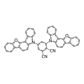 N#Cc1cc(-n2c3ccccc3c3c4oc5ccccc5c4ccc32)cc(-n2c3ccccc3c3c4oc5ccccc5c4ccc32)c1C#N